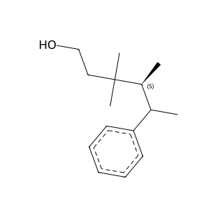 CC(c1ccccc1)[C@H](C)C(C)(C)CCO